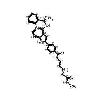 CC(Nc1ncnc2[nH]c(-c3ccc(C(=O)NCCNCC(=O)NO)cc3)cc12)c1ccccc1